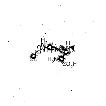 N/C(=N\C(=O)OCc1ccccc1)c1ccc(CNC(=O)Cn2c(-c3cc(N)cc(C(=O)O)c3)cnc(NC3CC3)c2=O)cc1